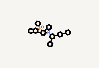 O=P1(c2ccccc2)c2cc3ccccc3cc2-c2ccc3c(c21)c1ccccc1n3-c1cc(-c2ccccc2)cc(-c2ccc(-c3ccccc3)cc2)c1